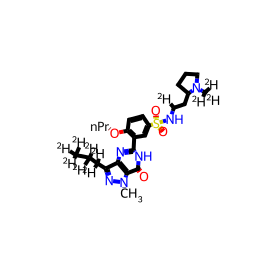 [2H]C(CC1CCCN1C([2H])([2H])[2H])NS(=O)(=O)c1ccc(OCCC)c(-c2nc3c(C([2H])([2H])C([2H])([2H])C([2H])([2H])[2H])nn(C)c3c(=O)[nH]2)c1